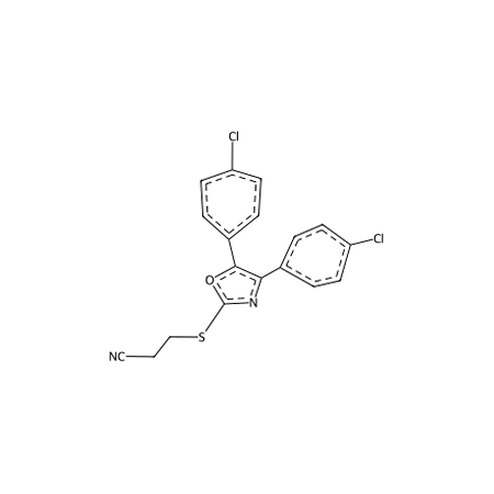 N#CCCSc1nc(-c2ccc(Cl)cc2)c(-c2ccc(Cl)cc2)o1